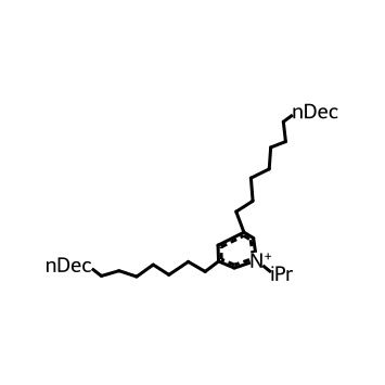 CCCCCCCCCCCCCCCCCc1cc(CCCCCCCCCCCCCCCCC)c[n+](C(C)C)c1